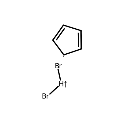 [Br][Hf][Br].[CH]1C=CC=C1